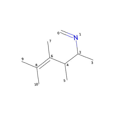 C=NC(C)C(C)C(C)=C(C)C